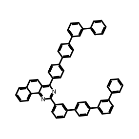 c1ccc(-c2cccc(-c3ccc(-c4ccc(-c5nc(-c6cccc(-c7ccc(-c8cccc(-c9ccccc9)c8)cc7)c6)nc6c5ccc5ccccc56)cc4)cc3)c2)cc1